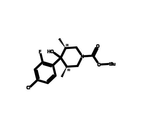 C[C@@H]1CN(C(=O)OC(C)(C)C)C[C@H](C)C1(O)c1ccc(Cl)cc1F